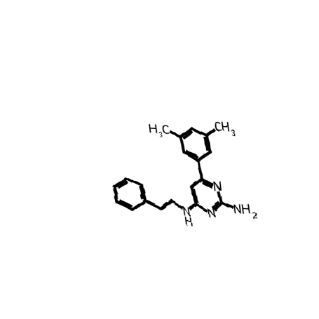 Cc1cc(C)cc(-c2cc(NCCc3ccccc3)nc(N)n2)c1